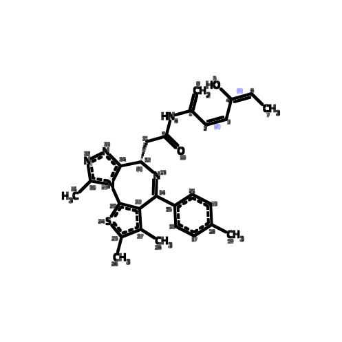 C=C(/C=C\C(O)=C/C)NC(=O)C[C@@H]1N=C(c2ccc(C)cc2)c2c(sc(C)c2C)-n2c(C)nnc21